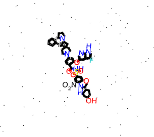 CC(C)c1ccccc1[C@@H]1CCCN1C1CC2(CCN(c3ccc(C(=O)NS(=O)(=O)c4cc5c(c([N+](=O)[O-])c4)N[C@@H](C4CCC(O)CC4)CO5)c(Oc4cnc5[nH]cc(F)c5c4)c3)CC2)C1